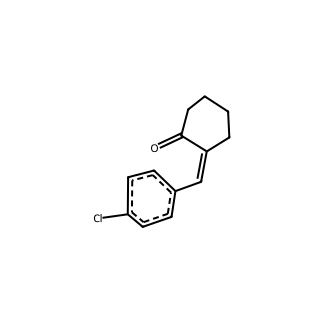 O=C1CCCCC1=Cc1ccc(Cl)cc1